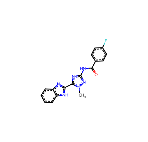 Cn1nc(NC(=O)c2ccc(F)cc2)nc1-c1nc2ccccc2[nH]1